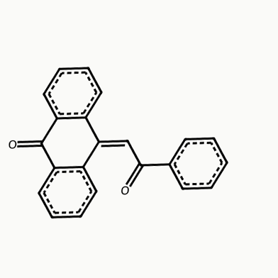 O=C(C=C1c2ccccc2C(=O)c2ccccc21)c1ccccc1